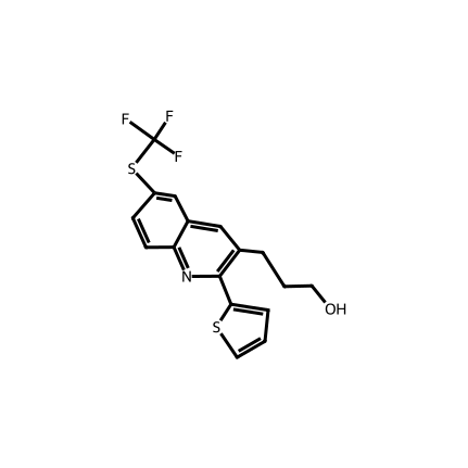 OCCCc1cc2cc(SC(F)(F)F)ccc2nc1-c1cccs1